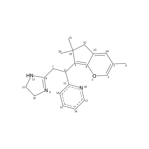 CC1=COC2=C(C(CC3=NCCN3)c3ccccn3)C(C)(C)CC2=C1